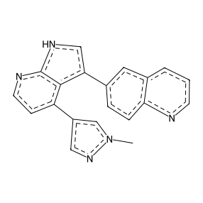 Cn1cc(-c2ccnc3[nH]cc(-c4ccc5ncccc5c4)c23)cn1